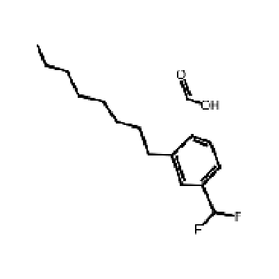 CCCCCCCCc1cccc(C(F)F)c1.O=CO